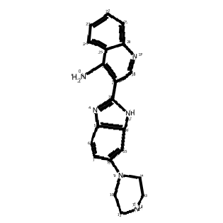 Nc1c(-c2nc3ccc(N4CCNCC4)cc3[nH]2)cnc2ccccc12